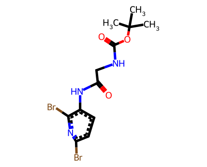 CC(C)(C)OC(=O)NCC(=O)Nc1ccc(Br)nc1Br